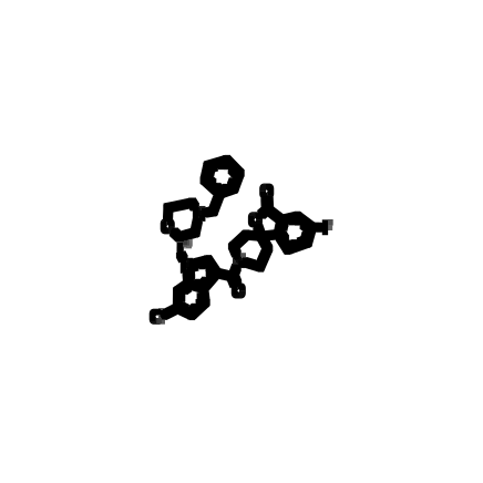 O=C1OC2(CCN(C(=O)c3cn(C[C@H]4CN(Cc5ccccc5)CCO4)c4cc(Cl)ccc34)CC2)c2ccc(F)cc21